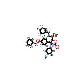 O=C1OC(C(Br)CCc2ccccc2)C(c2ccc(OCc3ccccc3)cc2)N1c1ccc(F)cc1